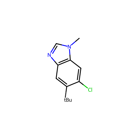 Cn1cnc2cc(C(C)(C)C)c(Cl)cc21